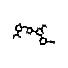 COC(=O)c1ccnc(Cn2cc(-c3cc(-c4cccc(C#N)c4)nc(N)n3)nn2)c1